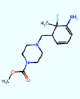 COC(=O)N1CCN(CC2C=CC=C(N)C2(C)F)CC1